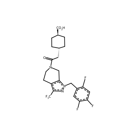 O=C(C[C@H]1CC[C@H](C(=O)O)CC1)N1CCc2c(C(F)(F)F)nn(Cc3cc(F)c(F)cc3F)c2C1